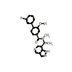 CCOc1cc(C(=O)N(C)[C@@H](C)c2cncc3cn[nH]c23)ccc1-c1cccc(F)c1